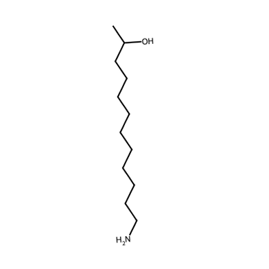 CC(O)CCCCCCCCCCN